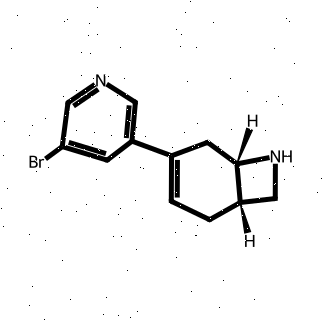 Brc1cncc(C2=CC[C@H]3CN[C@H]3C2)c1